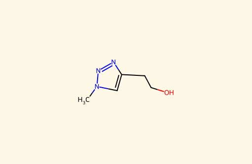 Cn1cc(CCO)nn1